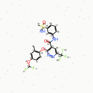 Cc1cc(OC(F)F)ccc1Oc1nnc(C(F)(F)F)cc1C(=O)Nc1cccc(S(C)(=N)=O)c1